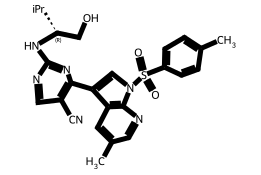 Cc1ccc(S(=O)(=O)n2cc(-c3nc(N[C@@H](CO)C(C)C)ncc3C#N)c3cc(C)cnc32)cc1